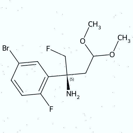 COC(C[C@@](N)(CF)c1cc(Br)ccc1F)OC